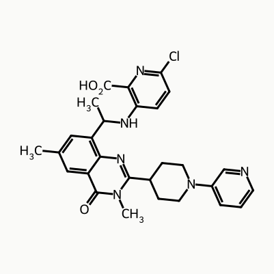 Cc1cc(C(C)Nc2ccc(Cl)nc2C(=O)O)c2nc(C3CCN(c4cccnc4)CC3)n(C)c(=O)c2c1